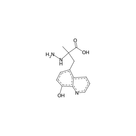 CC(Cc1ccc(O)c2ncccc12)(NN)C(=O)O